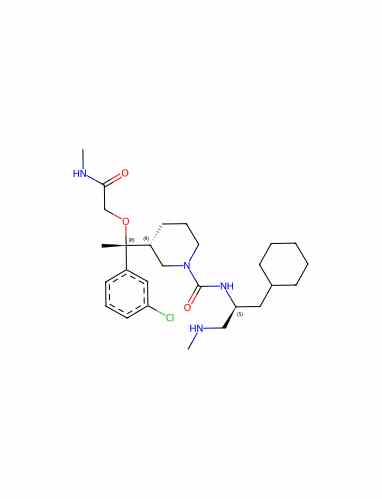 CNC[C@H](CC1CCCCC1)NC(=O)N1CCC[C@@H]([C@@](C)(OCC(=O)NC)c2cccc(Cl)c2)C1